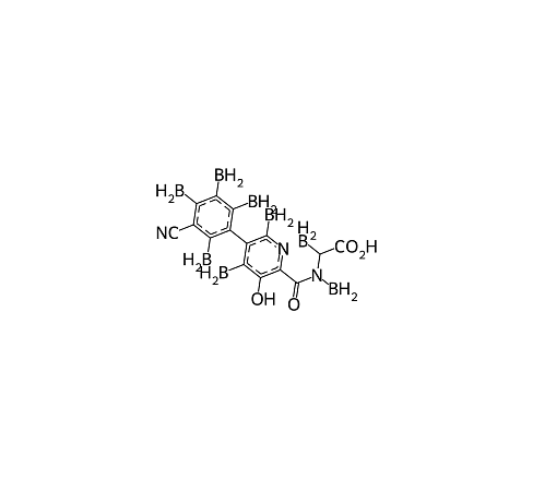 Bc1nc(C(=O)N(B)C(B)C(=O)O)c(O)c(B)c1-c1c(B)c(B)c(B)c(C#N)c1B